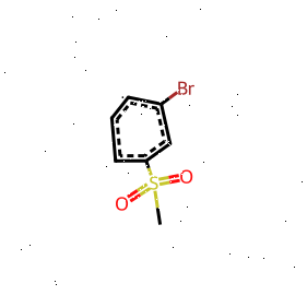 CS(=O)(=O)c1cc[c]c(Br)c1